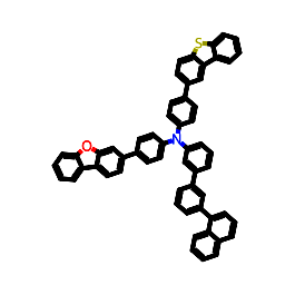 c1cc(-c2cccc(N(c3ccc(-c4ccc5c(c4)oc4ccccc45)cc3)c3ccc(-c4ccc5sc6ccccc6c5c4)cc3)c2)cc(-c2cccc3ccccc23)c1